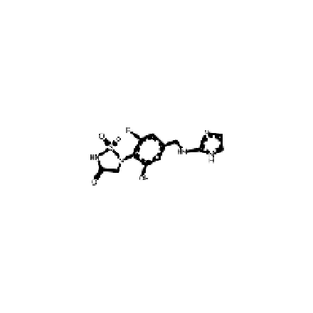 O=C1CN(c2c(O)cc(CNc3ncc[nH]3)cc2F)S(=O)(=O)N1